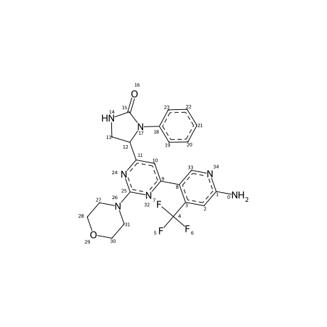 Nc1cc(C(F)(F)F)c(-c2cc(C3CNC(=O)N3c3ccccc3)nc(N3CCOCC3)n2)cn1